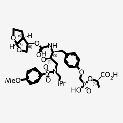 COc1ccc(S(=O)(=O)N(CC(C)C)C[C@@H](O)[C@H](Cc2ccc(OCP(=O)(O)O[C@@H](C)C(=O)O)cc2)NC(=O)O[C@H]2CO[C@H]3OCC[C@H]32)cc1